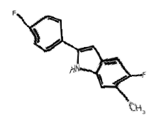 Cc1cc2[nH]c(-c3ccc(F)cc3)cc2cc1F